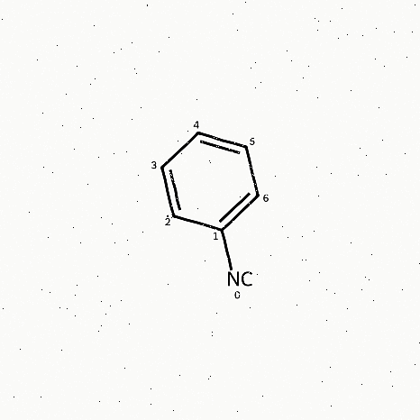 [C-]#[N+]c1[c]cccc1